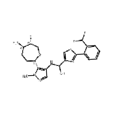 Cn1ncc(NC(O)c2csc(-c3ccccc3C(F)F)n2)c1[C@@H]1CC[C@@H](N)[C@H](F)CO1